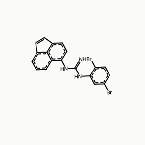 N=C(Nc1cc(Br)ccc1Br)Nc1ccc2c3c(cccc13)C=C2